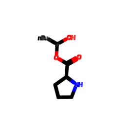 CCCCB(O)OC(=O)C1CCCN1